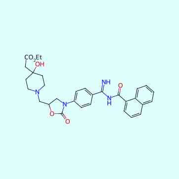 CCOC(=O)CC1(O)CCN(CC2CN(c3ccc(C(=N)NC(=O)c4cccc5ccccc45)cc3)C(=O)O2)CC1